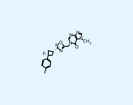 Cn1cnc2ncn(Cc3nc([C@H]4C[C@](F)(c5ccc(F)cc5)C4)no3)c(=O)c21